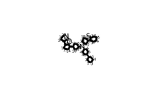 c1ccc(-c2ccc(N(c3ccc(-c4cccc5c4oc4ncccc45)cc3)c3ccc4sc5ccccc5c4c3)cc2)cc1